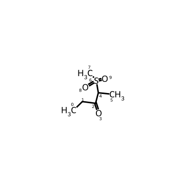 CCC(=O)C(C)S(C)(=O)=O